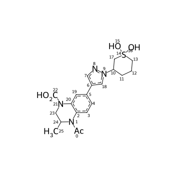 CC(=O)N1c2ccc(-c3cnn(C4CCCS(O)(O)C4)c3)cc2N(C(=O)O)CC1C